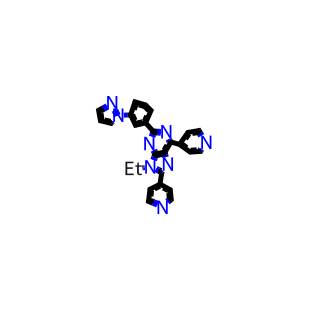 CCn1c(-c2ccncc2)nc2c(-c3ccncc3)nc(-c3cccc(-n4cccn4)c3)nc21